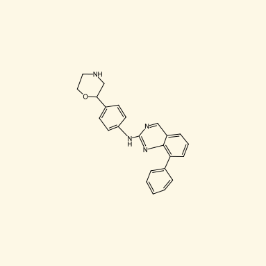 c1ccc(-c2cccc3cnc(Nc4ccc(C5CNCCO5)cc4)nc23)cc1